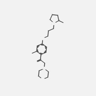 Cc1cc(OCCCN2CCCC2C)ccc1C(=O)CN1CCOCC1